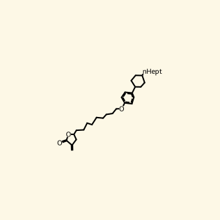 C=C1CC(CCCCCCCCCOc2ccc(C3CCC(CCCCCCC)CC3)cc2)OC1=O